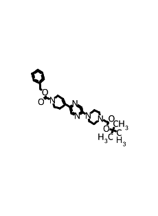 CC(C)(C)OC(=O)N1CCN(c2cnc(C3=CCN(C(=O)OCc4ccccc4)CC3)cn2)CC1